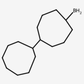 BC1CCCC(C2CCCCCCC2)CCC1